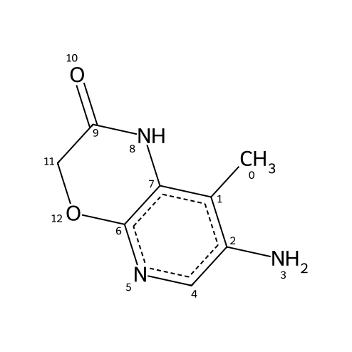 Cc1c(N)cnc2c1NC(=O)CO2